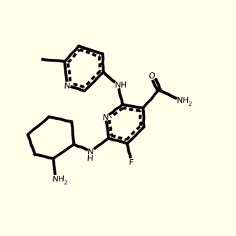 Cc1ccc(Nc2nc(NC3CCCCC3N)c(F)cc2C(N)=O)cn1